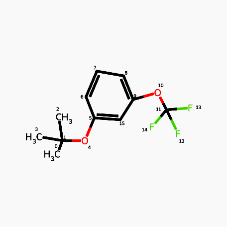 CC(C)(C)Oc1cccc(OC(F)(F)F)c1